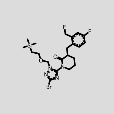 C[Si](C)(C)CCOCn1nc(Br)nc1N1CCCC(Cc2ccc(F)cc2CF)C1=O